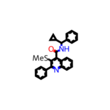 CSc1c(-c2ccccc2)nc2ccccc2c1C(=O)NC(c1ccccc1)C1CC1